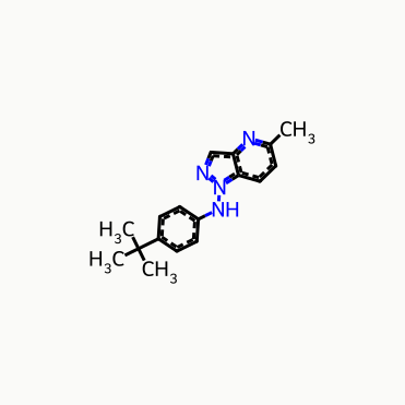 Cc1ccc2c(cnn2Nc2ccc(C(C)(C)C)cc2)n1